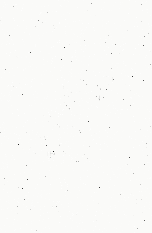 Cn1cc(C(=O)N2CCN(C(=O)OC(C)(C)C)CC2)cn1